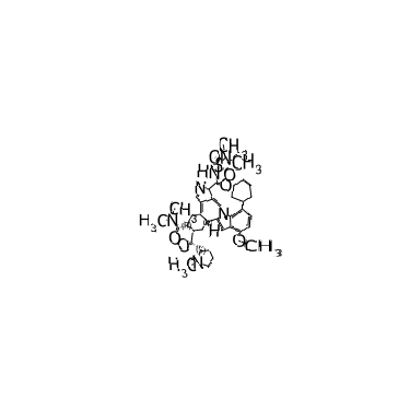 COc1ccc(C2CCCCC2)c2c1cc1n2C=C2C(=C3C[C@@H](C(=O)N(C)C)C(C(=O)[C@@H]4CCCN4C)C[C@H]31)C=NC2C(=O)NS(=O)(=O)N(C)C